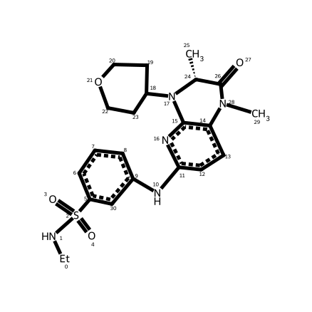 CCNS(=O)(=O)c1cccc(Nc2ccc3c(n2)N(C2CCOCC2)[C@H](C)C(=O)N3C)c1